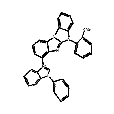 COc1ccccc1-n1c2ccccc2n2c3cccc(-[n+]4cn(-c5ccccc5)c5ccccc54)c3nc12